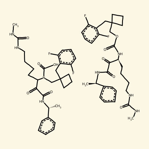 CNC(=O)NCCCCC(C(=O)C(=O)N[C@H](C)c1ccccc1)N(CC1(Cc2c(F)cccc2F)CCC1)C(=O)O.CNC(=O)NCCCC[C@H](NC(=O)OCC1(Cc2c(F)cccc2F)CCC1)C(=O)C(=O)N[C@H](C)c1ccccc1